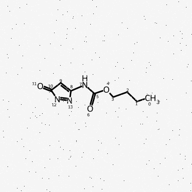 CCCCOC(=O)NC1=CC(=O)N=N1